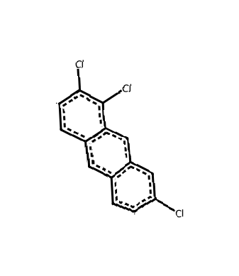 Clc1[c]cc2cc3c[c]c(Cl)c(Cl)c3cc2c1